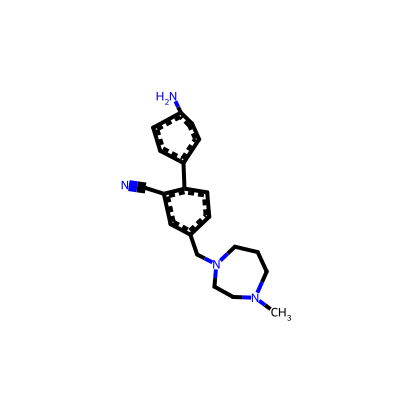 CN1CCCN(Cc2ccc(-c3ccc(N)cc3)c(C#N)c2)CC1